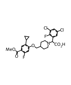 COC(=O)c1cc(C2CC2)c(OCC2CCN(C(C(=O)O)c3cc(Cl)cc(Cl)c3F)CC2)cc1F